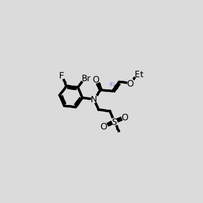 CCO/C=C/C(=O)N(CCS(C)(=O)=O)c1cccc(F)c1Br